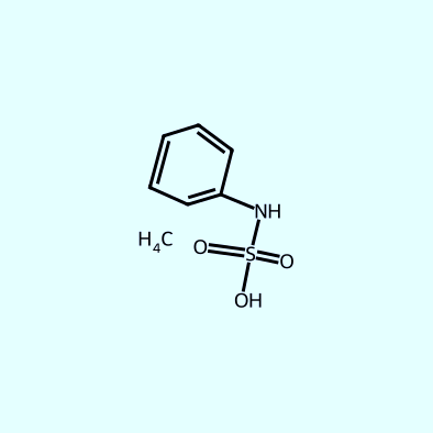 C.O=S(=O)(O)Nc1ccccc1